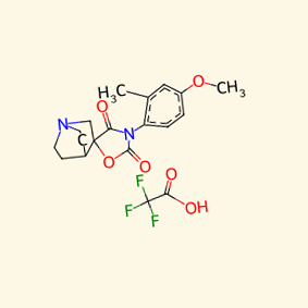 COc1ccc(N2C(=O)OC3(CN4CCC3CC4)C2=O)c(C)c1.O=C(O)C(F)(F)F